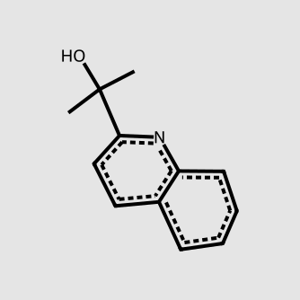 CC(C)(O)c1ccc2ccccc2n1